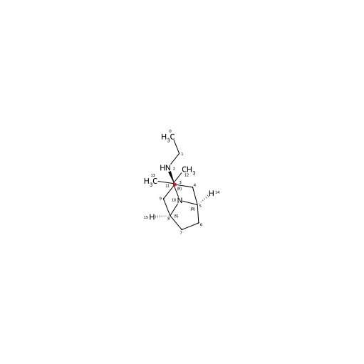 CCN[C@H]1C[C@H]2CC[C@@H](C1)N2C(C)C